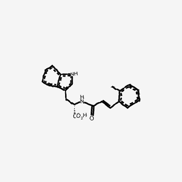 Cc1ccccc1/C=C/C(=O)N[C@@H](Cc1c[nH]c2ccccc12)C(=O)O